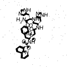 NC(=O)[C@H](Cc1cnc[nH]1)NC(=O)[C@H](Cc1cnc[nH]1)NC(=O)CP(=O)(O)C(Cc1ccccc1)NS(=O)(=O)c1cccc2cccnc12